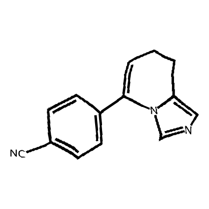 N#Cc1ccc(C2=CCCc3cncn32)cc1